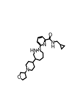 O=C(NCC1CC1)c1cccc(N2CCCC(C3CCN(C4CCOC4)CC3)CN2)n1